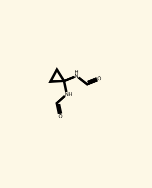 O=CNC1(NC=O)CC1